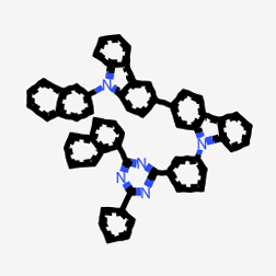 c1ccc(-c2nc(-c3cccc(-n4c5ccccc5c5ccc(-c6ccc7c(c6)c6ccccc6n7-c6ccc7ccccc7c6)cc54)c3)nc(-c3cccc4ccccc34)n2)cc1